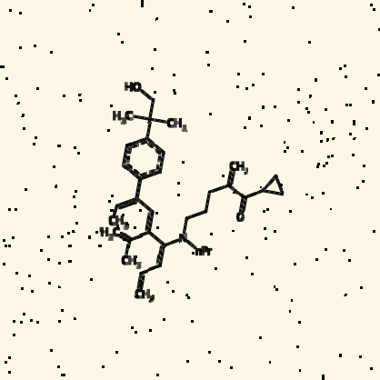 C=C\C=C(/C(=C/C(=C\C)c1ccc(C(C)(C)CO)cc1)C(=C)C)N(CCC)CCCC(=C)C(=O)C1CC1